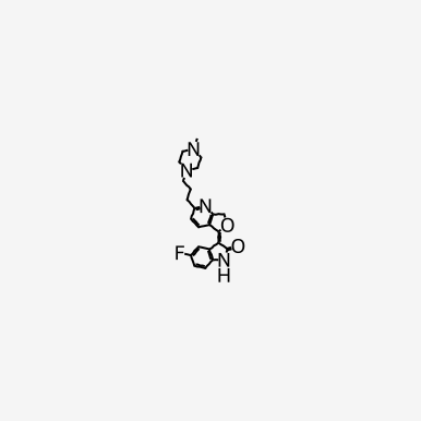 CN1CCN(CCCc2ccc3c(n2)CO/C3=C2\C(=O)Nc3ccc(F)cc32)CC1